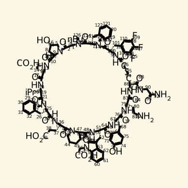 CCCC[C@H]1C(=O)N2C[C@@H](O)C[C@@H]2C(=O)N[C@@H](CC(=O)O)C(=O)N[C@@H](C(C)C)C(=O)N(C)[C@@H](Cc2ccccc2)C(=O)N[C@@H](CCC(=O)O)C(=O)N2CCCC[C@@H]2C(=O)N[C@@H](Cc2cn(CC(=O)O)c3ccccc23)C(=O)N[C@@H](Cc2ccc(O)cc2)C(=O)N[C@@H](CCN)C(=O)N[C@H](C(=O)NCC(N)=O)CSCC(=O)N[C@@H](Cc2cc(F)c(F)c(F)c2)C(=O)N(C)[C@@H](Cc2ccccc2)C(=O)N1C